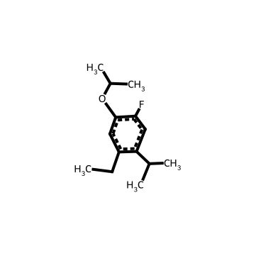 CCc1cc(OC(C)C)c(F)cc1C(C)C